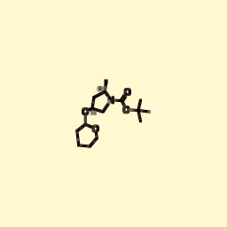 C[C@@H]1C[C@H](OC2CCCCO2)CN1C(=O)OC(C)(C)C